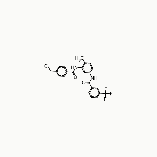 Cc1ccc(NC(=O)c2cccc(C(F)(F)F)c2)cc1NC(=O)c1ccc(CCl)cc1